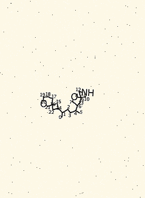 CC(CCC(C)C1COC2(CNC2)C1)C1CC2(CCCOC2)C1